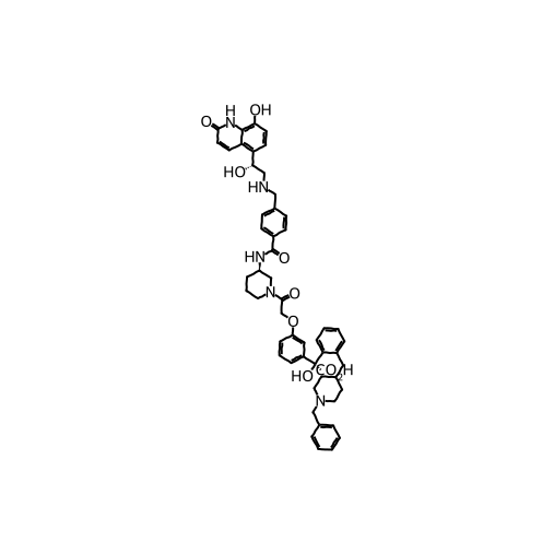 O=C(N[C@@H]1CCCN(C(=O)COc2cccc([C@@](O)(C(=O)O)c3ccccc3CC3CCN(Cc4ccccc4)CC3)c2)C1)c1ccc(CNC[C@H](O)c2ccc(O)c3[nH]c(=O)ccc23)cc1